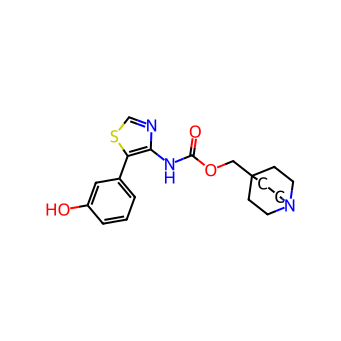 O=C(Nc1ncsc1-c1cccc(O)c1)OCC12CCN(CC1)CC2